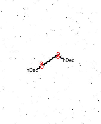 CCCCCCCCCCCCCOC(=O)CCCCCCCCCCC(=O)OCCCCCCCCCCCCC